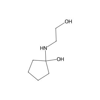 OCCNC1(O)CCCC1